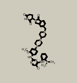 COc1cc(N2CCN(C3CCN(Cc4ccc5c(c4)CN(C4CCC(=O)NC4=O)C5=O)CC3)CC2)ccc1Nc1ncc(Cl)c(Nc2ccccc2P(C)C)n1